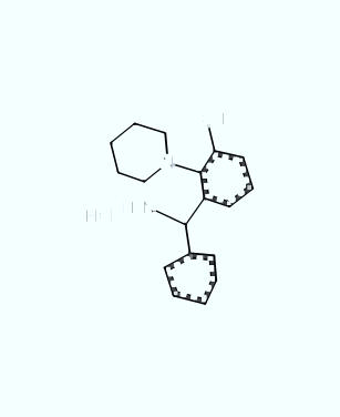 Cc1cccc(C(N)c2ccccc2)c1N1CCCCC1.Cl